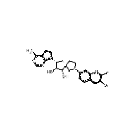 Nc1ncnc2c1ccn2[C@@H]1C[C@@]2(CCN(c3ccc4cc(Br)c(Cl)nc4c3)C2)[C@@H](O)[C@H]1O